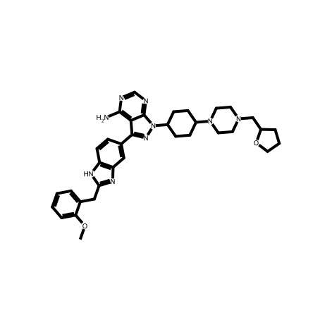 COc1ccccc1Cc1nc2cc(-c3nn(C4CCC(N5CCN(CC6CCCO6)CC5)CC4)c4ncnc(N)c34)ccc2[nH]1